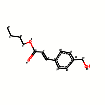 CCCCOC(=O)C=Cc1ccc(CO)cc1